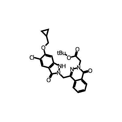 CC(C)(C)OC(=O)Cn1nc(Cn2[nH]c3cc(OCC4CC4)c(Cl)cc3c2=O)c2ccccc2c1=O